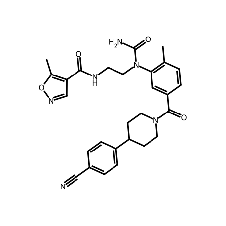 Cc1ccc(C(=O)N2CCC(c3ccc(C#N)cc3)CC2)cc1N(CCNC(=O)c1cnoc1C)C(N)=O